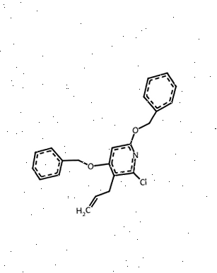 C=CCc1c(OCc2ccccc2)cc(OCc2ccccc2)nc1Cl